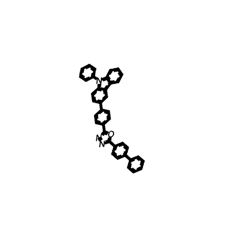 c1ccc(-c2ccc(-c3nnc(-c4ccc(-c5ccc6c(c5)c5ccccc5n6-c5ccccc5)cc4)o3)cc2)cc1